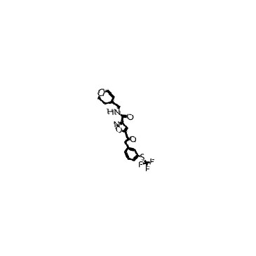 O=C(NCC1CCOCC1)c1cc(C(=O)Cc2cccc(SC(F)(F)F)c2)on1